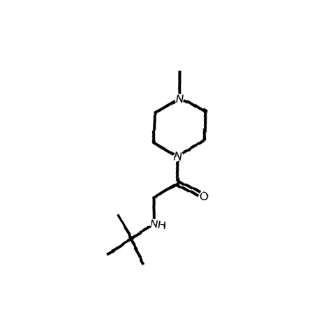 CN1CCN(C(=O)CNC(C)(C)C)CC1